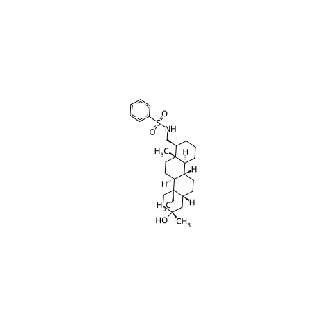 CC[C@]12CC[C@@](C)(O)C[C@H]1CC[C@H]1[C@@H]3CCC[C@H](CNS(=O)(=O)c4ccccc4)[C@@]3(C)CC[C@@H]12